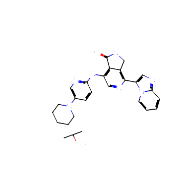 CC(C)(O)[C@@H]1CCCN(c2ccc(Nc3cnc(-c4cnc5ccccn45)c4c3C(=O)NC4)nc2)C1